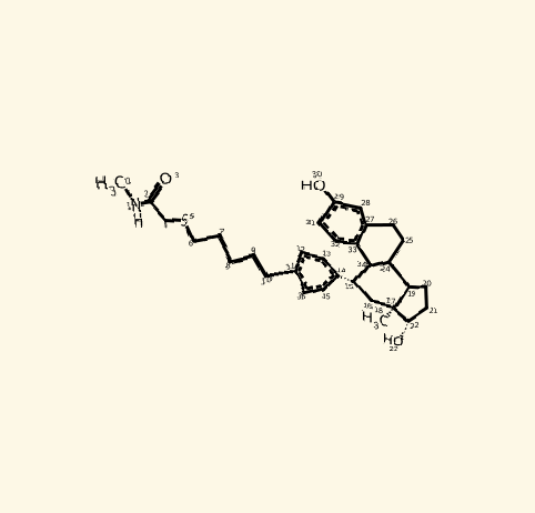 CNC(=O)CSCCCCCc1ccc([C@H]2C[C@@]3(C)C(CC[C@@H]3O)C3CCc4cc(O)ccc4C32)cc1